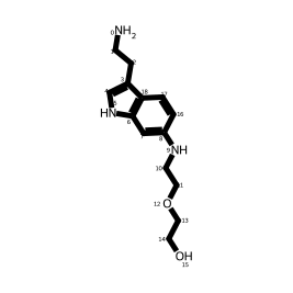 NCCc1c[nH]c2cc(NCCOCCO)ccc12